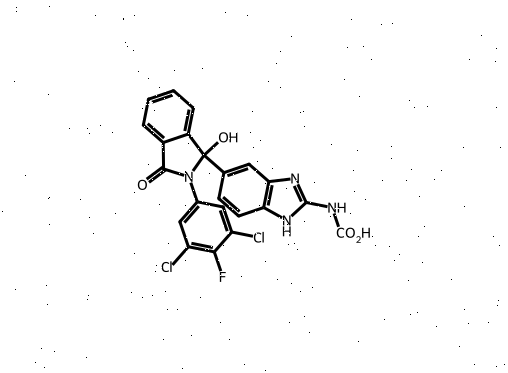 O=C(O)Nc1nc2cc(C3(O)c4ccccc4C(=O)N3c3cc(Cl)c(F)c(Cl)c3)ccc2[nH]1